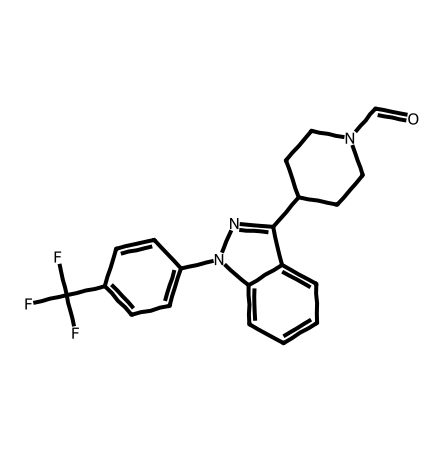 O=CN1CCC(c2nn(-c3ccc(C(F)(F)F)cc3)c3ccccc23)CC1